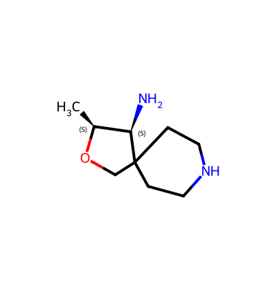 C[C@@H]1OCC2(CCNCC2)[C@@H]1N